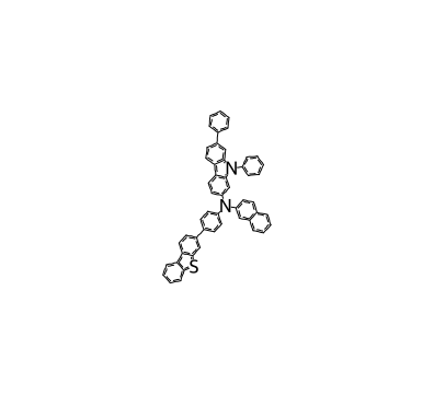 c1ccc(-c2ccc3c4ccc(N(c5ccc(-c6ccc7c(c6)sc6ccccc67)cc5)c5ccc6ccccc6c5)cc4n(-c4ccccc4)c3c2)cc1